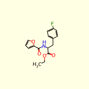 CCOC(=O)C(Cc1ccc(F)cc1)NC(=O)c1ccco1